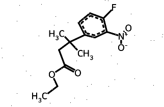 CCOC(=O)CC(C)(C)c1ccc(F)c([N+](=O)[O-])c1